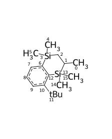 CC1C[Si](C)(C)c2cccc(C(C)(C)C)c2[Si]1(C)C